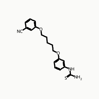 N#Cc1cccc(OCCCCCOc2cccc(NC(N)=S)c2)c1